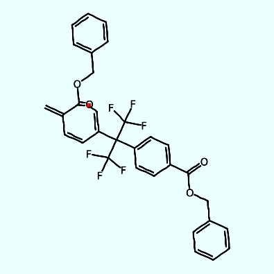 C=C(/C=C\C(=C/C)C(c1ccc(C(=O)OCc2ccccc2)cc1)(C(F)(F)F)C(F)(F)F)C(=O)OCc1ccccc1